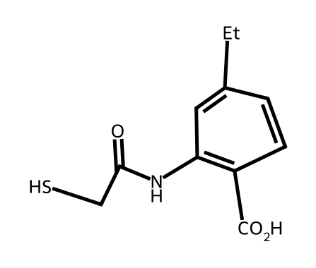 CCc1ccc(C(=O)O)c(NC(=O)CS)c1